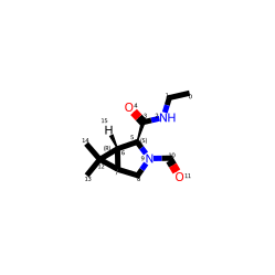 CCNC(=O)[C@@H]1[C@@H]2C(CN1C=O)C2(C)C